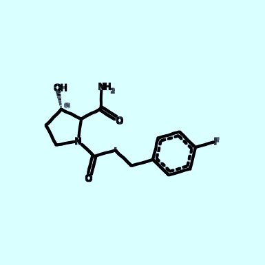 NC(=O)C1[C@@H](O)CCN1C(=O)[CH]Cc1ccc(F)cc1